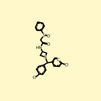 O=C(C[S+]([O-])c1ccccc1)NC1CN(C(c2ccc(Cl)cc2)c2ccc(Cl)cc2)C1